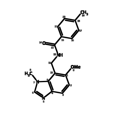 COc1ccc2ncn(C)c2c1CNC(=O)c1ccc(C)cc1